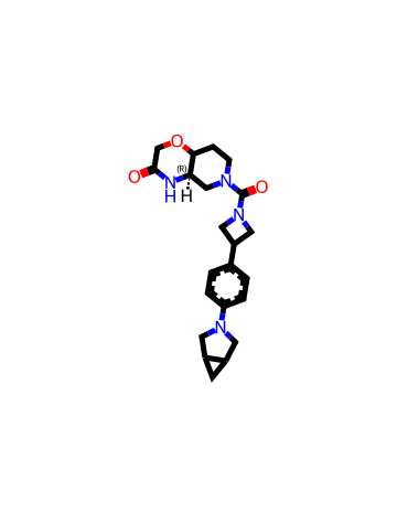 O=C1COC2CCN(C(=O)N3CC(c4ccc(N5CC6CC6C5)cc4)C3)C[C@H]2N1